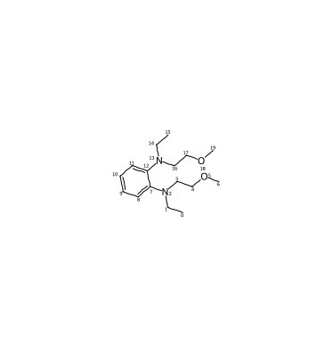 CCN(CCOC)c1ccccc1N(CC)CCOC